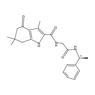 Cc1c(C(=O)NCC(=O)N[C@@H](C)c2ccccc2)[nH]c2c1C(=O)CC(C)(C)C2